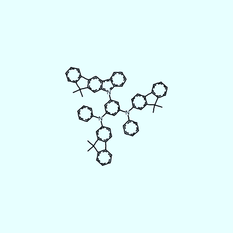 CC1(C)c2ccccc2-c2ccc(N(c3ccccc3)c3cc(N(c4ccccc4)c4ccc5c(c4)C(C)(C)c4ccccc4-5)cc(-n4c5ccccc5c5cc6c(cc54)C(C)(C)c4ccccc4-6)c3)cc21